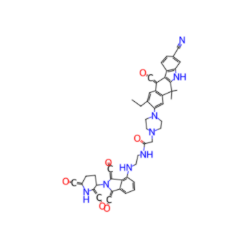 CCc1cc2c(cc1N1CCN(CC(=O)NCCNc3cccc4c(=C=O)n(C5CCC(=C=O)NC5=C=O)c(=C=O)c34)CC1)C(C)(C)c1[nH]c3cc(C#N)ccc3c1C2=C=O